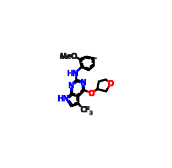 COc1c[c]ccc1Nc1nc(OC2CCOC2)c2c(C(F)(F)F)c[nH]c2n1